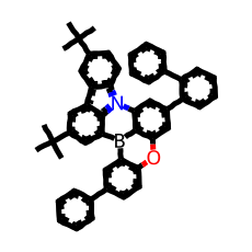 CC(C)(C)c1ccc2c(c1)c1cc(C(C)(C)C)cc3c1n2-c1cc(-c2ccccc2-c2ccccc2)cc2c1B3c1cc(-c3ccccc3)ccc1O2